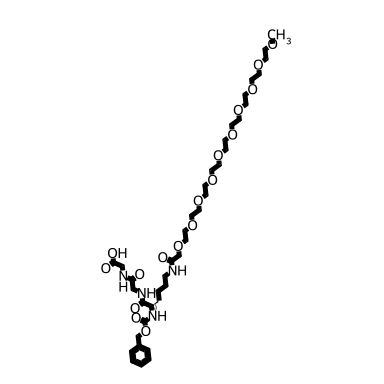 COCCOCCOCCOCCOCCOCCOCCOCCOCCOCC(=O)NCCCC[C@H](NC(=O)OCc1ccccc1)C(=O)NCC(=O)NCC(=O)O